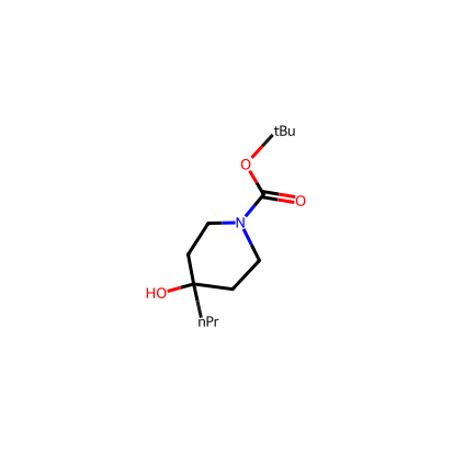 CCCC1(O)CCN(C(=O)OC(C)(C)C)CC1